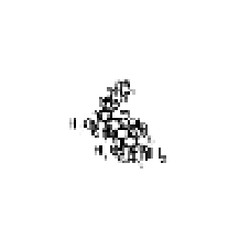 CN(C)c1cc2nc(CN3CCCC3)oc2c2c1C[C@H]1C[C@H]3[C@H](N(C)C)C(O)=C(C(N)=O)C(=O)[C@@]3(O)C(O)=C1C2=O